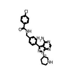 Nc1ncnc2c1c(-c1ccc(CNC(=O)c3ccc(Cl)cc3)cc1)nn2[C@@H]1CCCNC1